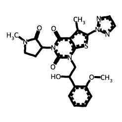 COc1ccccc1C(O)Cn1c(=O)n(C2CCN(C)C2=O)c(=O)c2c(C)c(-n3nccn3)sc21